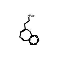 CNCCC1=CN=Cc2ccccc2O1